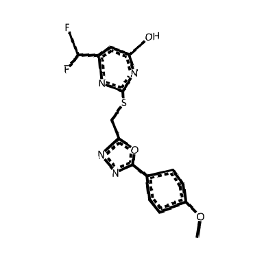 COc1ccc(-c2nnc(CSc3nc(O)cc(C(F)F)n3)o2)cc1